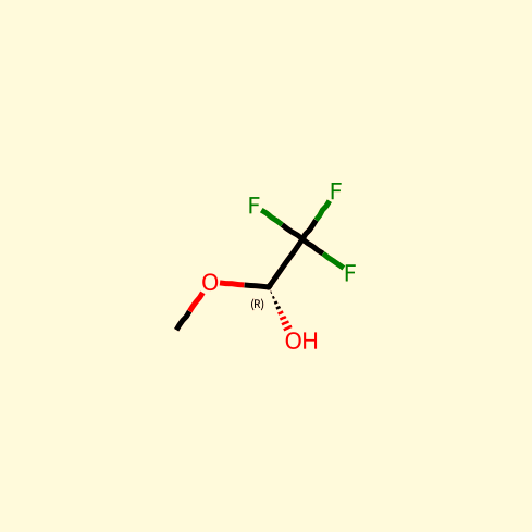 CO[C@@H](O)C(F)(F)F